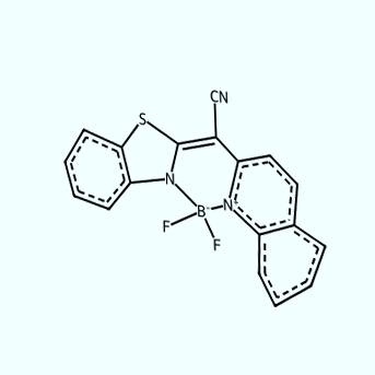 N#CC1=C2Sc3ccccc3N2[B-](F)(F)[n+]2c1ccc1ccccc12